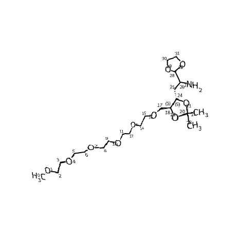 COCCOCCOCCOCCOCCOC[C@@H]1OC(C)(C)O[C@H]1CC(N)C1OCCO1